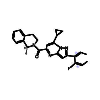 C/C=C(\C(F)=C/C)c1cc2nc(C(=O)N3CCc4ccccc4[C@H]3C)cc(C3CC3)n2n1